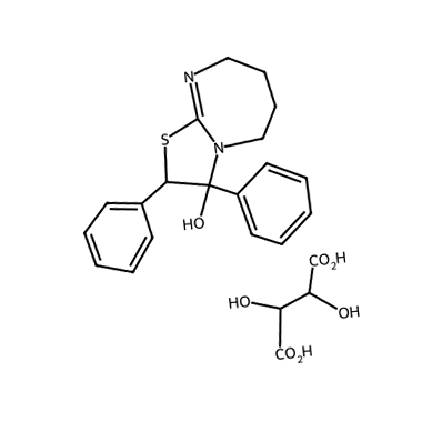 O=C(O)C(O)C(O)C(=O)O.OC1(c2ccccc2)C(c2ccccc2)SC2=NCCCCN21